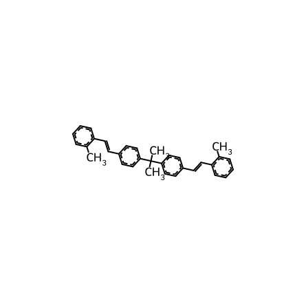 Cc1ccccc1C=Cc1ccc(C(C)(C)c2ccc(C=Cc3ccccc3C)cc2)cc1